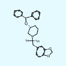 [2H]C([2H])(Cc1ccc2c(c1)OCO2)N1CCC[C@@H](OC(c2ccccc2)c2ccccc2)C1